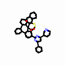 c1ccc(-c2cc(-c3cccnc3)nc(-c3ccc4c(c3)C3(c5ccccc5Sc5c3ccc3ccccc53)c3ccccc3-c3ccccc3-4)n2)cc1